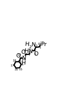 CC(C)C[C@H](N)C(=O)NCC(=O)NC(=O)C1CCCCC1